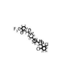 O=C(Cn1cccc(C(F)(F)F)c1=O)N1CCC(c2nc(C3=NOC(c4c(Cl)cccc4Cl)C3)cs2)CC1